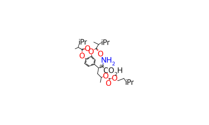 CC(C)CCOC(=O)OC(C)CC(c1ccc(OC(=O)C(C)C(C)C)c(OC(=O)C(C)C(C)C)c1)[C@H](N)C(=O)O